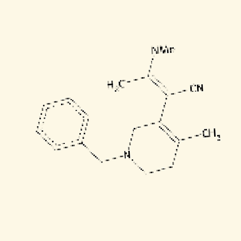 CN/C(C)=C(\C#N)C1=C(C)CCN(Cc2ccccc2)C1